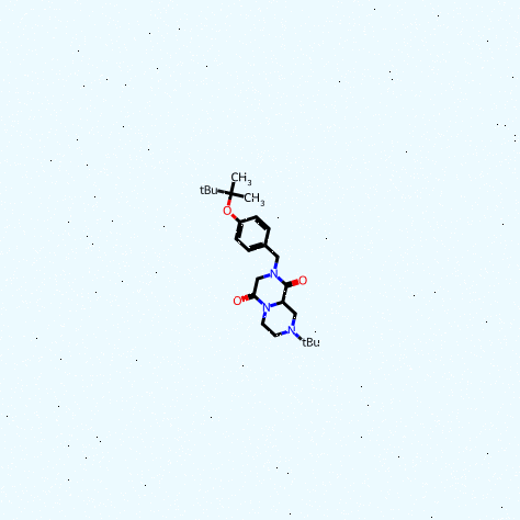 CC(C)(C)N1CCN2C(=O)CN(Cc3ccc(OC(C)(C)C(C)(C)C)cc3)C(=O)C2C1